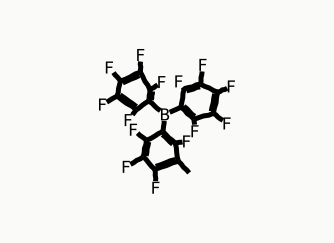 Cc1c(F)c(F)c(F)c(B(c2c(F)c(F)c(F)c(F)c2F)c2c(F)c(F)c(F)c(F)c2F)c1F